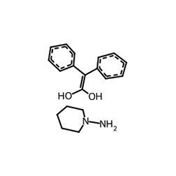 NN1CCCCC1.OC(O)=C(c1ccccc1)c1ccccc1